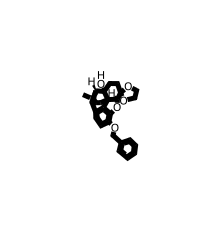 CN1CCC23c4c5ccc(OCc6ccccc6)c4O[C@H]2C2(CC[C@@]3(O)[C@H]1C5)OCCO2